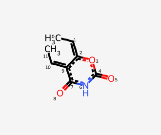 C/C=c1/oc(=O)[nH]c(=O)/c1=C/C